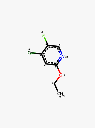 CCOc1cc(Cl)c(F)cn1